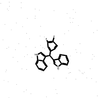 Fc1ccc(C(c2c[nH]c3ccccc23)c2c[nH]c3ccccc23)cc1F